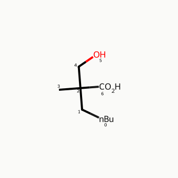 CCCCCC(C)(CO)C(=O)O